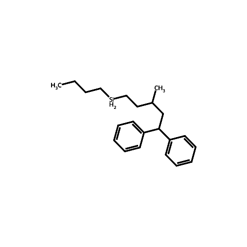 CCCC[SiH2]CCC(C)CC(c1ccccc1)c1ccccc1